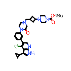 CC(C)(C)OC(=O)N1CCN(C2CC(CN3CCN(c4cccc(-c5cnc6[nH]cc(C7CC7)c6c5Cl)c4)C(=O)C3)C2)CC1